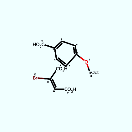 CCCCCCCCOc1ccc(C(=O)O)cc1.O=C(O)/C=C(/Br)C(=O)O